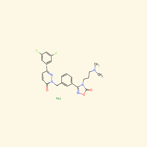 CN(C)CCCn1c(-c2cccc(Cn3nc(-c4cc(F)cc(F)c4)ccc3=O)c2)noc1=O.Cl